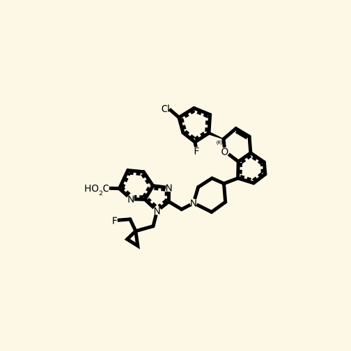 O=C(O)c1ccc2nc(CN3CCC(c4cccc5c4O[C@@H](c4ccc(Cl)cc4F)C=C5)CC3)n(CC3(CF)CC3)c2n1